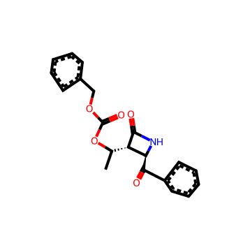 CC(OC(=O)OCc1ccccc1)[C@@H]1C(=O)N[C@H]1C(=O)c1ccccc1